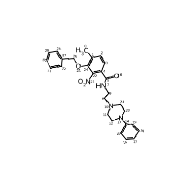 Cc1ccc(C(=O)NCCN2CCN(c3ccccc3)CC2)c([N+](=O)[O-])c1OCc1ccccc1